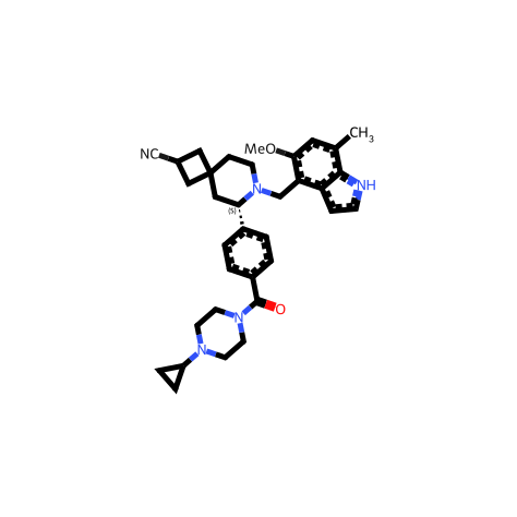 COc1cc(C)c2[nH]ccc2c1CN1CCC2(CC(C#N)C2)C[C@H]1c1ccc(C(=O)N2CCN(C3CC3)CC2)cc1